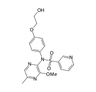 COc1nc(C)cnc1N(c1ccc(OCCO)cc1)S(=O)(=O)c1cccnc1